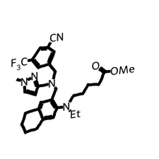 CCN(CCCCC(=O)OC)c1cc2c(cc1CN(Cc1cc(C#N)cc(C(F)(F)F)c1)c1ccn(C)n1)CCCC2